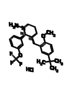 COc1ccc(C(C)(C)C)cc1C[C@@H]1CCCN(N)[C@@H]1c1cccc(OC(F)(F)F)c1.Cl